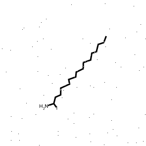 CCCCCCCCCCCCCCCC(N)I